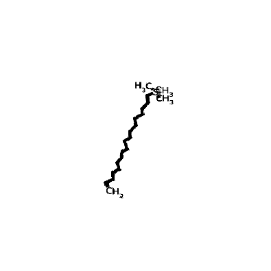 C=CCCCCCCCCCCCCCCCC[Si](C)(C)C